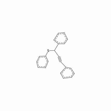 C(#CC(Sc1ccccc1)c1ccccc1)c1ccccc1